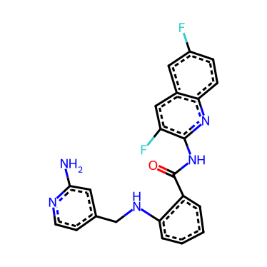 Nc1cc(CNc2ccccc2C(=O)Nc2nc3ccc(F)cc3cc2F)ccn1